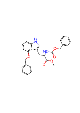 COC(=O)C(Cc1c[nH]c2cccc(OCc3ccccc3)c12)NC(=O)OCc1ccccc1